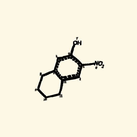 O=[N+]([O-])c1cc2c(cc1O)CCCC2